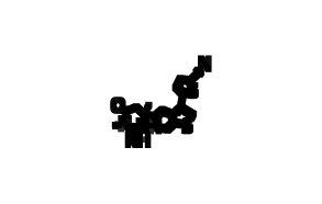 CN1C(=N)N[C@@](C)(c2ccc3scc(-c4ccc(C#N)s4)c3c2)CC1=O